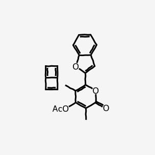 CC(=O)Oc1c(C)c(-c2cc3ccccc3o2)oc(=O)c1C.c1cc2ccc1-2